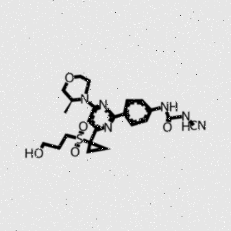 C[C@H]1COCCN1c1cc(C2(S(=O)(=O)CCCO)CC2)nc(-c2ccc(NC(=O)NC#N)cc2)n1